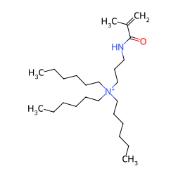 C=C(C)C(=O)NCCC[N+](CCCCCC)(CCCCCC)CCCCCC